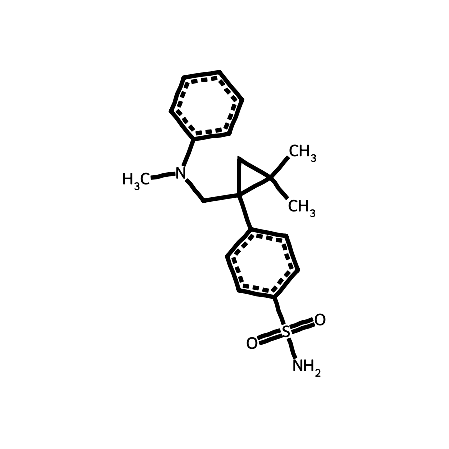 CN(CC1(c2ccc(S(N)(=O)=O)cc2)CC1(C)C)c1ccccc1